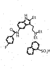 CCc1[nH]c2ccc(NC(=O)c3ccc(F)cc3)cc2c1CCN(CC)CC.O=S(=O)(O)c1cccc2ccccc12